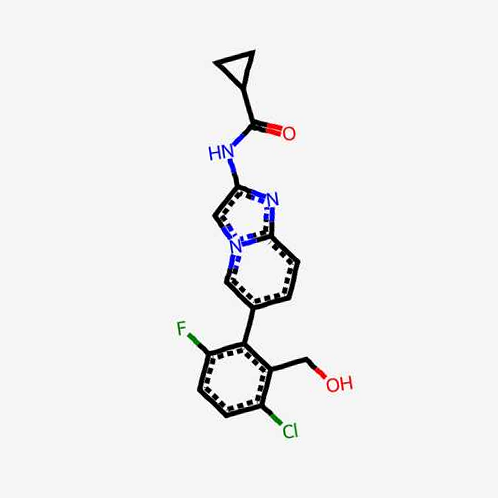 O=C(Nc1cn2cc(-c3c(F)ccc(Cl)c3CO)ccc2n1)C1CC1